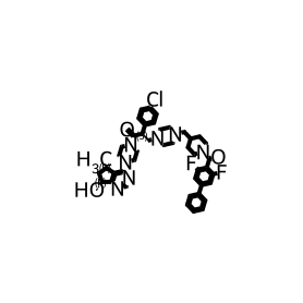 C[C@@H]1C[C@@H](O)c2ncnc(N3CCN(C(=O)[C@H](CN4CCN(CC5CCN(C(=O)c6c(F)cc(-c7ccccc7)cc6F)CC5)CC4)c4ccc(Cl)cc4)CC3)c21